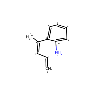 C=C/C=C(/C)c1ccccc1N